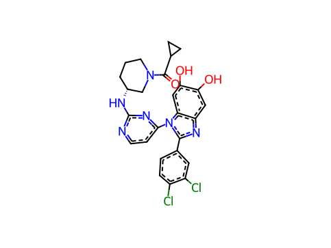 O=C(C1CC1)N1CCC[C@@H](Nc2nccc(-n3c(-c4ccc(Cl)c(Cl)c4)nc4cc(O)c(O)cc43)n2)C1